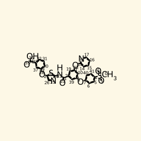 CS(=O)(=O)c1ccc(Oc2cc(Oc3ccccn3)cc(C(=O)Nc3ncc(Oc4cccc(C(=O)O)c4)s3)c2)cc1